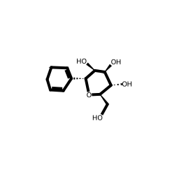 OC[C@H]1O[C@H](C2=C[CH]CC=C2)[C@@H](O)[C@@H](O)[C@@H]1O